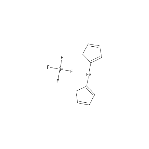 C1=CC[C]([Fe][C]2=CC=CC2)=C1.F[B-](F)(F)F